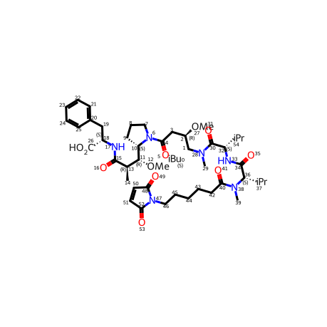 CC[C@H](C)C([C@@H](CC(=O)N1CCC[C@H]1[C@H](OC)[C@@H](C)C(=O)N[C@@H](Cc1ccccc1)C(=O)O)OC)N(C)C(=O)[C@@H](NC(=O)[C@H](C(C)C)N(C)C(=O)CCCCCN1C(=O)C=CC1=O)C(C)C